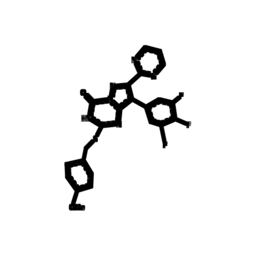 COc1ccc(CSc2nc3c(-c4cc(F)c(F)c(F)c4)c(-c4ncccn4)nn3c(=O)[nH]2)cc1